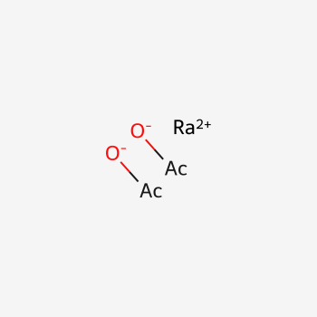 CC(=O)[O-].CC(=O)[O-].[Ra+2]